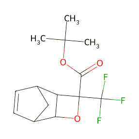 CC(C)(C)OC(=O)C1(C(F)(F)F)OC2C3C=CC(C3)C21